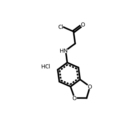 Cl.O=C(Cl)CNc1ccc2c(c1)OCO2